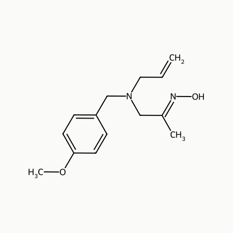 C=CCN(CC(C)=NO)Cc1ccc(OC)cc1